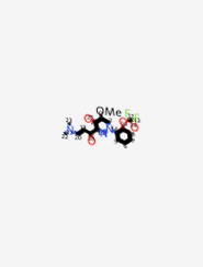 COc1cn(-c2cccc3c2OC(F)(F)O3)nc(C(=O)C=CN(C)C)c1=O